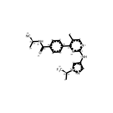 Cc1cnc(Nc2cnn([C@@H](C)C(F)(F)F)c2)nc1-c1ccc(C(=O)N[C@@H](C)C#N)cc1